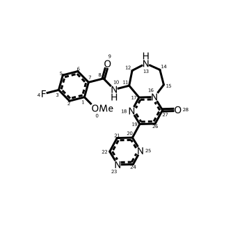 COc1cc(F)ccc1C(=O)NC1CNCCn2c1nc(-c1ccncn1)cc2=O